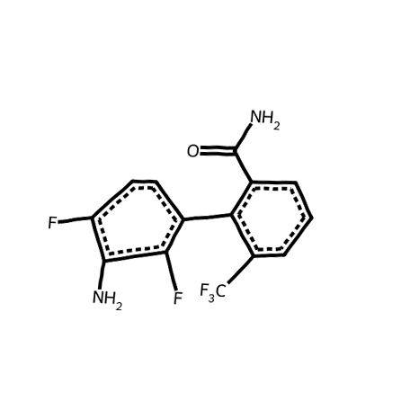 NC(=O)c1cccc(C(F)(F)F)c1-c1ccc(F)c(N)c1F